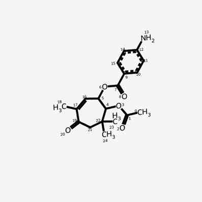 CC(=O)OC1C(OC(=O)c2ccc(N)cc2)C=C(C)C(=O)CC1(C)C